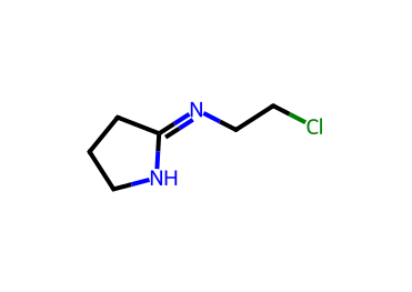 ClCCN=C1CCCN1